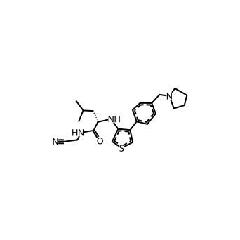 CC(C)C[C@H](Nc1cscc1-c1ccc(CN2CCCC2)cc1)C(=O)NCC#N